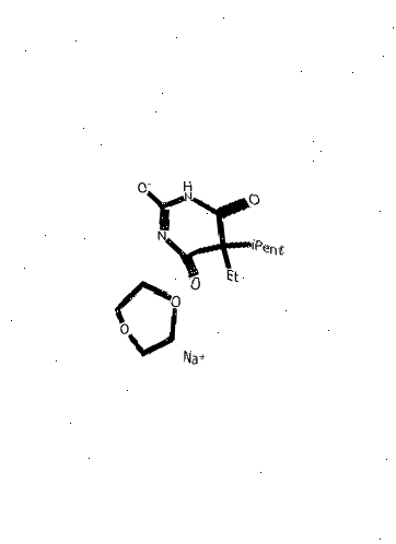 C1COCCO1.CCCC(C)C1(CC)C(=O)N=C([O-])NC1=O.[Na+]